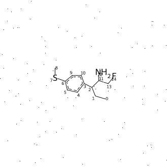 CCC(c1ccc(SC)cc1)C(N)CF